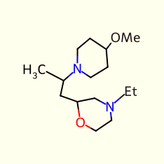 CCN1CCOC(CC(C)N2CCC(OC)CC2)C1